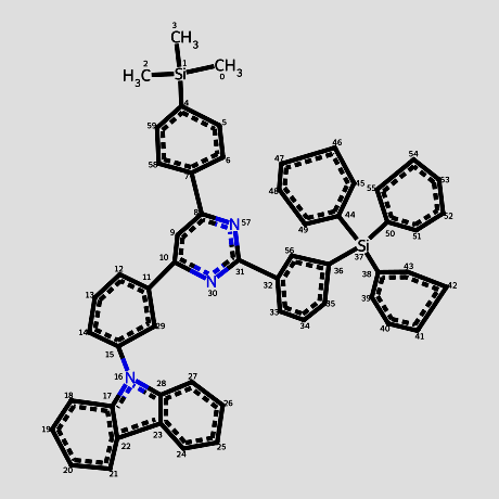 C[Si](C)(C)c1ccc(-c2cc(-c3cccc(-n4c5ccccc5c5ccccc54)c3)nc(-c3cccc([Si](c4ccccc4)(c4ccccc4)c4ccccc4)c3)n2)cc1